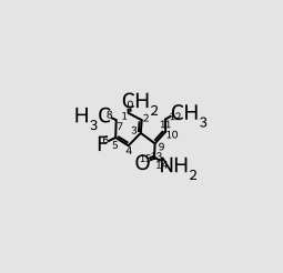 C=C/C=C(\C=C(\F)CC)C(=C\CC)/C(N)=O